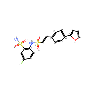 NS(=O)(=O)c1cc(F)ccc1NS(=O)(=O)C=Cc1ccc(-c2ccco2)cc1